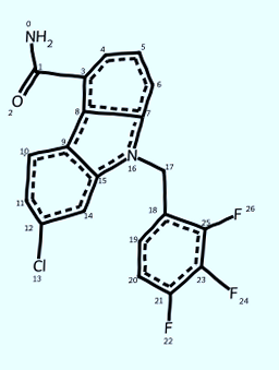 NC(=O)c1cccc2c1c1[c]cc(Cl)cc1n2Cc1ccc(F)c(F)c1F